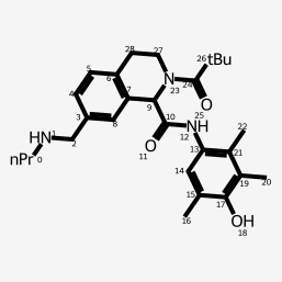 CCCNCc1ccc2c(c1)C(C(=O)Nc1cc(C)c(O)c(C)c1C)N(C(=O)C(C)(C)C)CC2